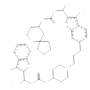 Cc1c(C(C)NC(=O)NC2CCN(CCCc3ccc4c(C)c(C(C)NC(=O)NC5CCOC6(CCCC6)C5)oc4c3)CC2)oc2ccccc12